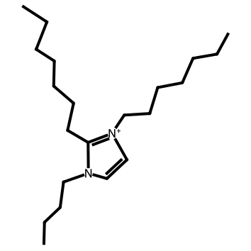 CCCCCCCc1n(CCCC)cc[n+]1CCCCCCC